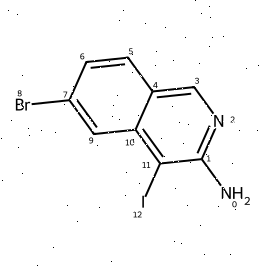 Nc1ncc2ccc(Br)cc2c1I